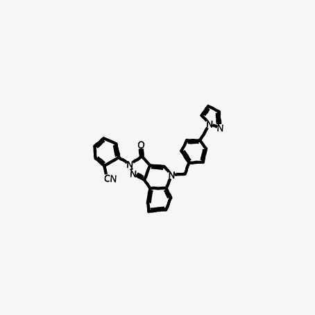 N#Cc1ccccc1-n1nc2c3ccccc3n(Cc3ccc(-n4cccn4)cc3)cc-2c1=O